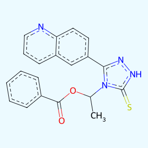 CC(OC(=O)c1ccccc1)n1c(-c2ccc3ncccc3c2)n[nH]c1=S